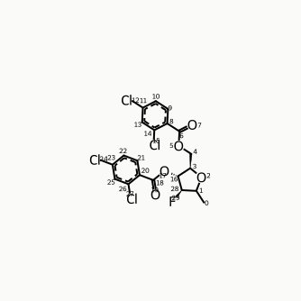 CC1O[C@H](COC(=O)c2ccc(Cl)cc2Cl)[C@@H](OC(=O)c2ccc(Cl)cc2Cl)[C@@H]1F